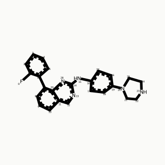 Fc1ccccc1-c1cccc2cnc(Nc3ccc(N4CCNCC4)cc3)nc12